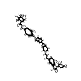 Cn1c(=O)n(C2CCC(=O)NC2=O)c2ccc(CCCN3CCc4nc(-c5ccc6cn([C@H]7CC[C@H](CNC(=O)c8cc(F)c(O)c(F)c8F)CC7)nc6c5)sc4C3)cc21